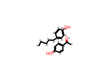 CC(=O)c1ccc(O)cc1.CCCCCc1ccc(O)cc1